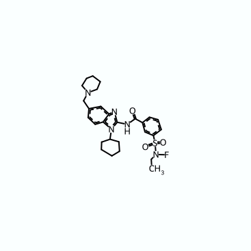 CCN(F)S(=O)(=O)c1cccc(C(=O)Nc2nc3cc(CN4CCCCC4)ccc3n2C2CCCCC2)c1